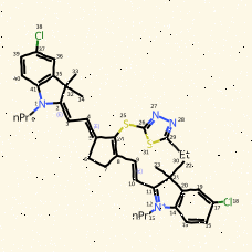 CCCN1/C(=C/C=C2\CCC(/C=C/C3=[N+](CCC)c4ccc(Cl)cc4C3(C)C)=C2Sc2nnc(CC)s2)C(C)(C)c2cc(Cl)ccc21